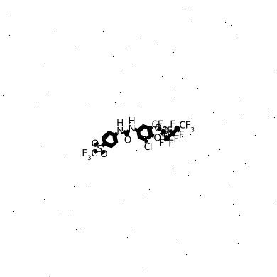 O=C(Nc1ccc(S(=O)(=O)C(F)(F)F)cc1)Nc1cc(Cl)c(OS(=O)(=O)C(F)(F)C(F)(F)C(F)(F)C(F)(F)F)c(C(F)(F)F)c1